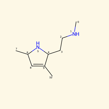 CNCCC1NC(C)C=C1C